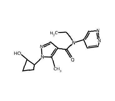 CCN(C(=O)c1cnn(C2CCC2O)c1C)c1ccnnc1